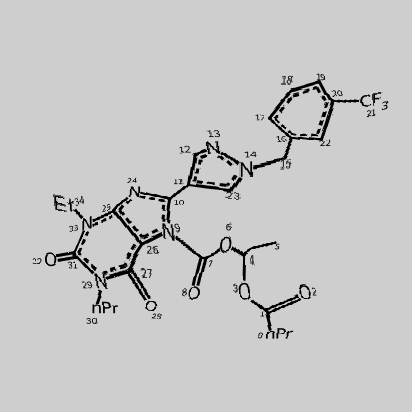 CCCC(=O)OC(C)OC(=O)n1c(-c2cnn(Cc3cccc(C(F)(F)F)c3)c2)nc2c1c(=O)n(CCC)c(=O)n2CC